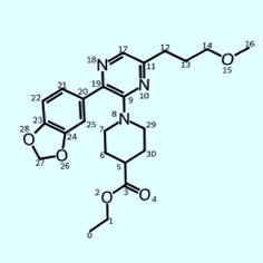 CCOC(=O)C1CCN(c2nc(CCCOC)cnc2-c2ccc3c(c2)OCO3)CC1